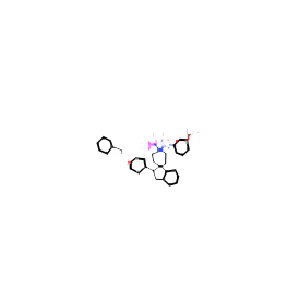 O=C(O)C1(Nc2cccc(Br)c2)CCC2(CC1)c1ccccc1CC2c1ccc(OCc2ccccc2)cc1